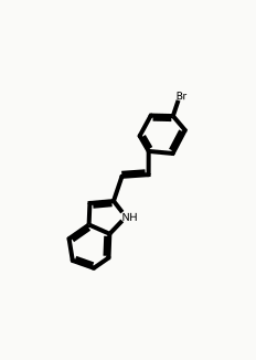 Brc1ccc(/C=C/c2cc3ccccc3[nH]2)cc1